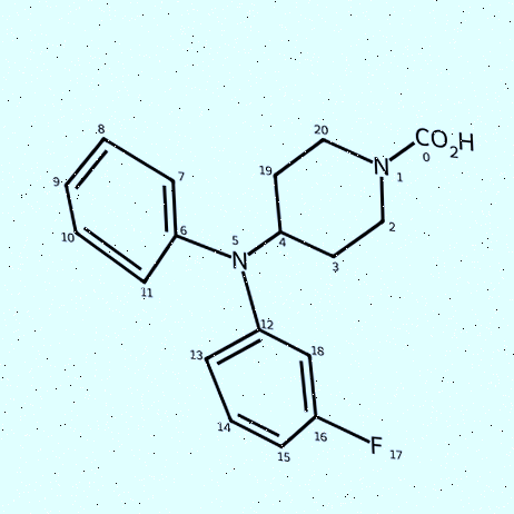 O=C(O)N1CCC(N(c2ccccc2)c2cccc(F)c2)CC1